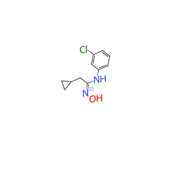 O/N=C(/CC1CC1)Nc1cccc(Cl)c1